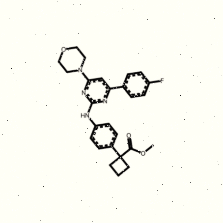 COC(=O)C1(c2ccc(Nc3nc(-c4ccc(F)cc4)cc(N4CCOCC4)n3)cc2)CCC1